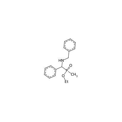 CCOP(C)(=O)C(NCc1ccccc1)c1ccccc1